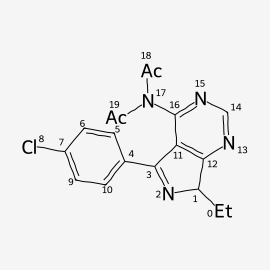 CCC1N=C(c2ccc(Cl)cc2)c2c1ncnc2N(C(C)=O)C(C)=O